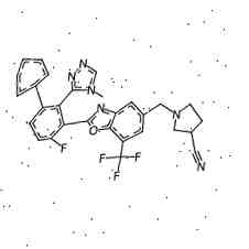 Cn1cnnc1-c1c(-c2ccccc2)ccc(F)c1-c1nc2cc(CN3CCC(C#N)C3)cc(C(F)(F)F)c2o1